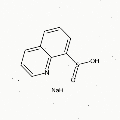 O=S(O)c1cccc2cccnc12.[NaH]